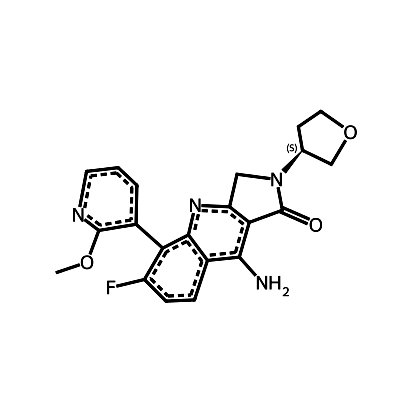 COc1ncccc1-c1c(F)ccc2c(N)c3c(nc12)CN([C@H]1CCOC1)C3=O